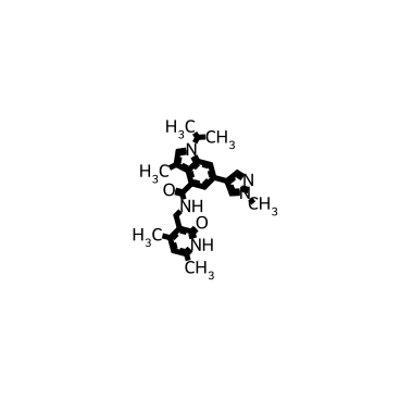 Cc1cc(C)c(CNC(=O)c2cc(-c3cnn(C)c3)cc3c2c(C)cn3C(C)C)c(=O)[nH]1